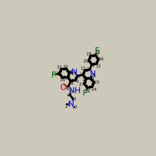 CN(C)CCNC(=O)c1cc(-c2cc(-c3ccc(F)cc3)nc3ccc(F)cc23)nc2ccc(F)cc12